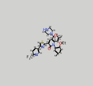 CCOc1ccc(C)cc1-n1c(C=C(C)C)c(C(=O)N2CCNCC2)cc(-c2nc(-c3ccc(C(F)(F)F)nc3)cs2)c1=O